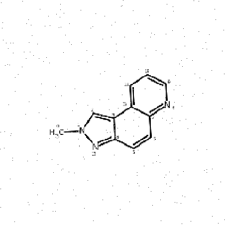 Cn1cc2c(ccc3ncccc32)n1